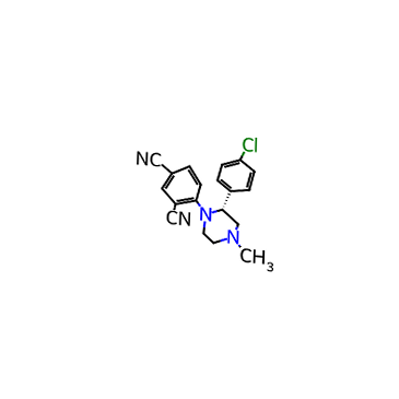 CN1CCN(c2ccc(C#N)cc2C#N)[C@H](c2ccc(Cl)cc2)C1